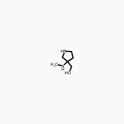 CNC1(CO)CCNC1